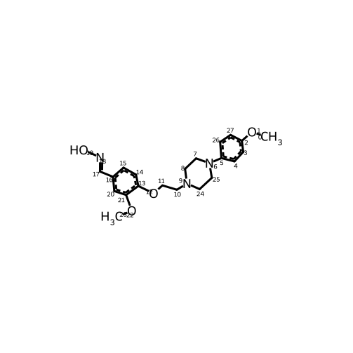 COc1ccc(N2CCN(CCOc3ccc(C=NO)cc3OC)CC2)cc1